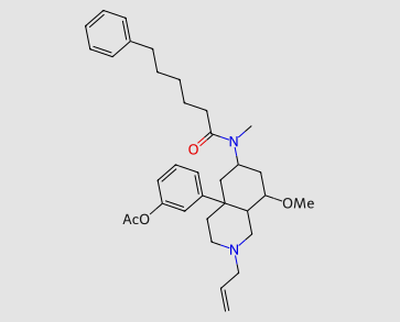 C=CCN1CCC2(c3cccc(OC(C)=O)c3)CC(N(C)C(=O)CCCCCc3ccccc3)CC(OC)C2C1